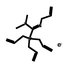 C=CC/N=C(\N(C)C)[N+](CC=C)(CC=C)CC=C.[Cl-]